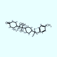 Cc1ccc(OC(F)(F)C2CCC(C(C)(C)C(C)(C)C3CCC(=O)CC3)CC2)cc1